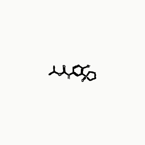 CC(C)OC(=O)Nc1ccc(Br)c(P2(=O)CCCC2)c1